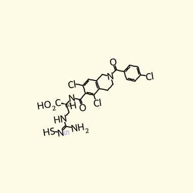 N/C(=N/S)NC[C@H](NC(=O)c1c(Cl)cc2c(c1Cl)CCN(C(=O)c1ccc(Cl)cc1)C2)C(=O)O